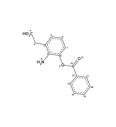 Nc1c(CC(=O)O)cccc1OC(=O)c1ccccc1